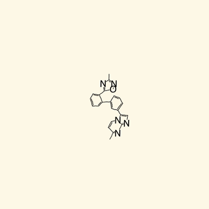 Cc1ccn2c(-c3cccc(-c4ccccc4-c4nc(C)no4)c3)cnc2n1